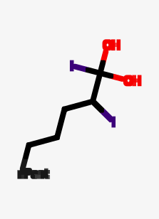 CCCCCCCCC(I)C(O)(O)I